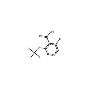 O=C(O)c1c(Cl)cncc1OC(F)(F)F